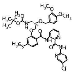 COc1ccc(CO[C@@H](CNC(=O)OC(C)(C)C)COc2cc(SC)ccc2C(=O)Nc2cccnc2C(=O)Nc2ccc(Cl)cn2)cc1OC